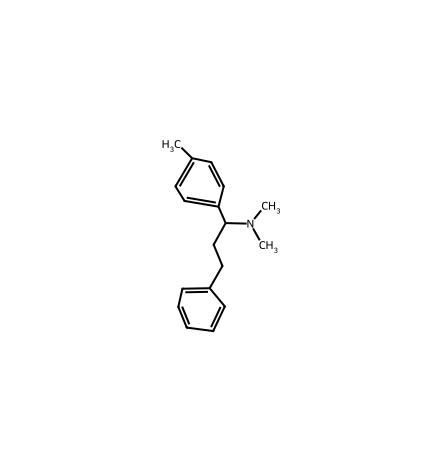 Cc1ccc(C(CCc2ccccc2)N(C)C)cc1